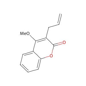 C=CCc1c(OC)c2ccccc2oc1=O